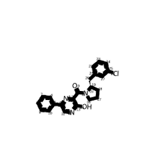 O=C(c1nc(-c2ccccc2)cnc1O)N1CCC[C@H]1Cc1cccc(Cl)c1